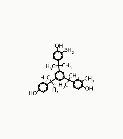 Bc1cc(C(C)(C)c2cc(C(C)(C)c3ccc(O)cc3)cc(C(C)(C)c3ccc(O)c(C)c3)c2)ccc1O